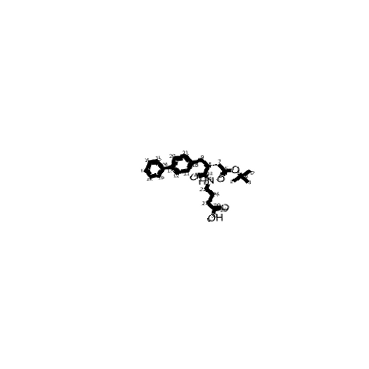 CC(C)(C)OC(=O)C[C@@H](Cc1ccc(-c2ccccc2)cc1)C(=O)NCCCC(=O)O